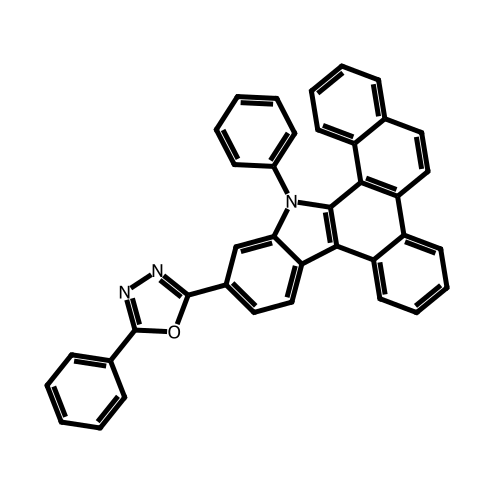 c1ccc(-c2nnc(-c3ccc4c5c6ccccc6c6ccc7ccccc7c6c5n(-c5ccccc5)c4c3)o2)cc1